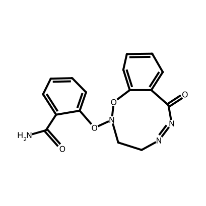 NC(=O)c1ccccc1ON1CCN=NC(=O)c2ccccc2O1